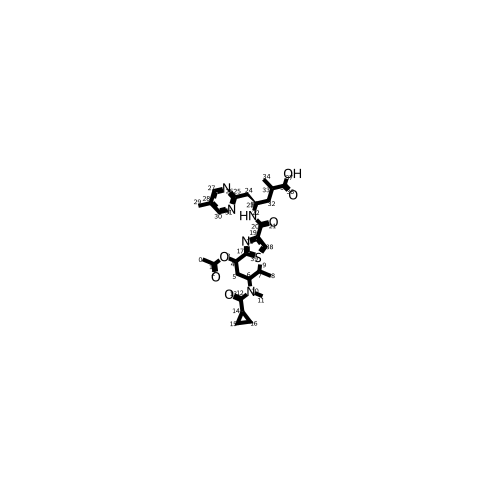 CC(=O)OC(CC(C(C)C)N(C)C(=O)C1CC1)c1nc(C(=O)N[C@@H](Cc2ncc(C)cn2)CC(C)C(=O)O)cs1